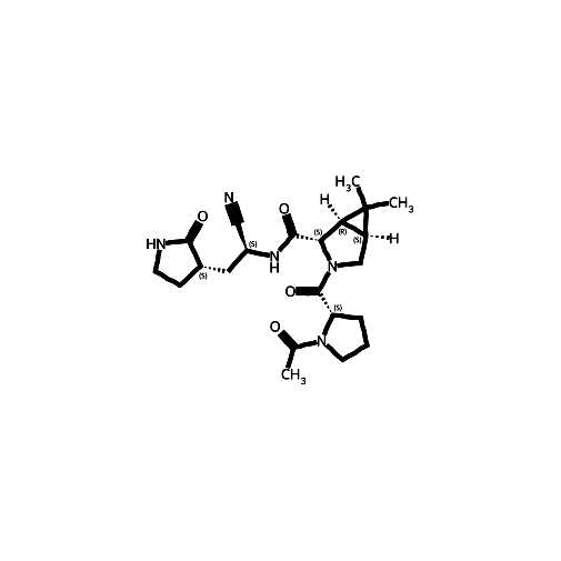 CC(=O)N1CCC[C@H]1C(=O)N1C[C@H]2[C@@H]([C@H]1C(=O)N[C@H](C#N)C[C@@H]1CCNC1=O)C2(C)C